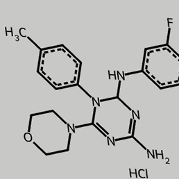 Cc1ccc(N2C(N3CCOCC3)=NC(N)=NC2Nc2cccc(F)c2)cc1.Cl